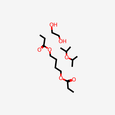 CC(C)OC(C)C.CCC(=O)OCCCCOC(=O)CC.OCCO